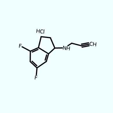 C#CCNC1CCc2c(F)cc(F)cc21.Cl